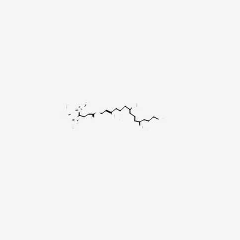 CCOP(=O)(OCC)C(CCC(=O)OC/C=C(\C)CCCC(C)CCCC(C)CCCC(C)C)P(=O)(OCC)OCC